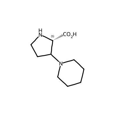 O=C(O)[C@H]1NCCC1N1CCCCC1